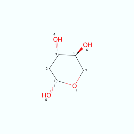 O[C@@H]1C[C@H](O)[C@@H](O)CO1